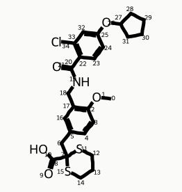 COc1ccc(CC2(C(=O)O)SCCCS2)cc1CNC(=O)c1ccc(OC2CCCC2)cc1Cl